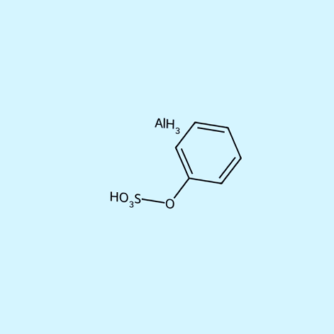 O=S(=O)(O)Oc1ccccc1.[AlH3]